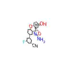 N#Cc1cc(F)cc(-c2ccc3c(c2)C2(COC(N)=N2)[C@H]2C[C@@H](O)CCC2O3)c1